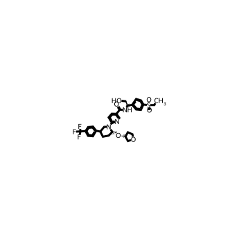 CCS(=O)(=O)c1ccc([C@H](CO)NC(=O)c2ccc(N3CC(c4ccc(C(F)(F)F)cc4)CC[C@H]3CO[C@@H]3CCOC3)nc2)cc1